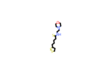 S=C(CCCCC1CCSS1)NCCN1CCOCC1